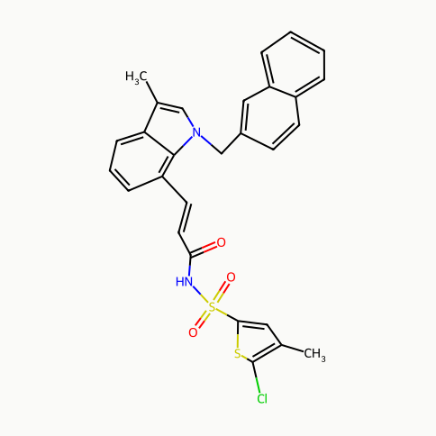 Cc1cc(S(=O)(=O)NC(=O)/C=C/c2cccc3c(C)cn(Cc4ccc5ccccc5c4)c23)sc1Cl